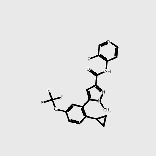 Cn1nc(C(=O)Nc2ccncc2F)cc1-c1cc(OC(F)(F)F)ccc1C1CC1